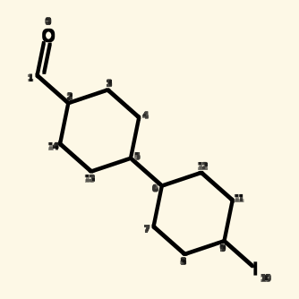 O=CC1CCC(C2CCC(I)CC2)CC1